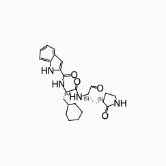 O=C[C@H](C[C@@H]1CCNC1=O)NC(=O)[C@H](CC1CCCCC1)NC(=O)c1cc2ccccc2[nH]1